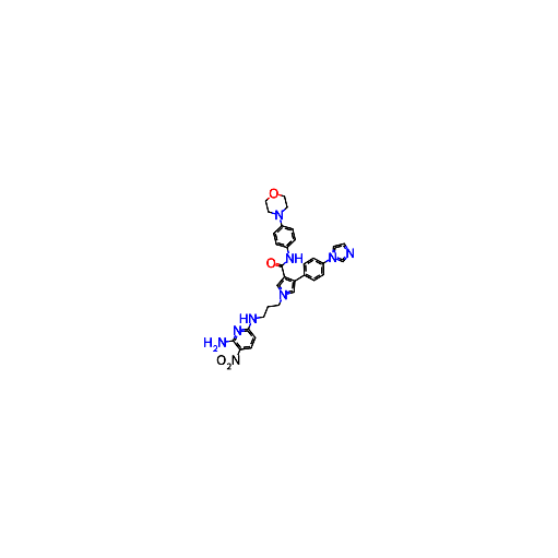 Nc1nc(NCCCn2cc(C(=O)Nc3ccc(N4CCOCC4)cc3)c(-c3ccc(-n4ccnc4)cc3)c2)ccc1[N+](=O)[O-]